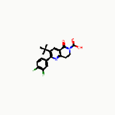 CC(C)(C)c1cc2c(nc1-c1ccc(F)c(F)c1)CCN(C(=O)O)C2=O